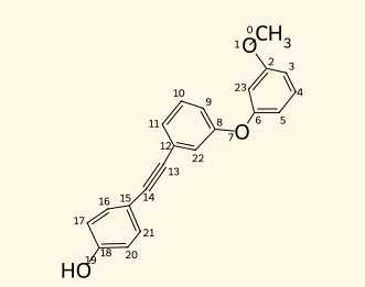 COc1cccc(Oc2cccc(C#Cc3ccc(O)cc3)c2)c1